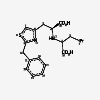 CC(C)CC(N[C@@H](Cc1csc(Cc2ccccc2)n1)C(=O)O)C(=O)O